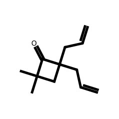 C=CCC1(CC=C)CC(C)(C)C1=O